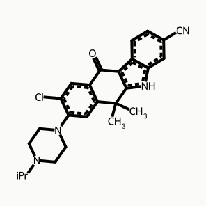 CC(C)N1CCN(c2cc3c(cc2Cl)C(=O)c2c([nH]c4cc(C#N)ccc24)C3(C)C)CC1